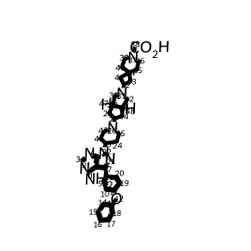 Nc1ncnc2c1c(-c1ccc(Oc3ccccc3)cc1)nn2C1CCN(C2C[C@@H]3CN(C4CC5(CCN(C(=O)O)CC5)C4)C[C@@H]3C2)CC1